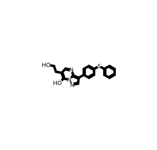 OCCc1cnc2c(-c3ccc(Sc4ccccc4)cc3)cnn2c1O